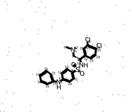 CN(C)C[C@H](NS(=O)(=O)c1ccc(Nc2ccccc2)cc1)c1ccc(Cl)c(Cl)c1